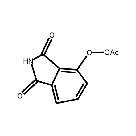 CC(=O)OOc1cccc2c1C(=O)NC2=O